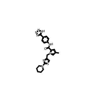 Cc1cc(C(=O)Nc2ccc(-c3nnn[nH]3)cc2)n(Cc2csc(N3CCCCC3)n2)c1